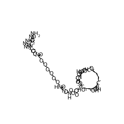 CO[C@H]1C[C@@H]2CC[C@@H](C)[C@@](O)(O2)C(=O)C(=O)N2CCCC[C@H]2C(=O)O[C@H]([C@H](C)C[C@@H]2CC[C@@H](OC(=O)NC3CCN(CC(=O)NCCOCCOCCOCCOCCOCCOCCC(=O)N4CCc5cc(Cn6nc(-c7ccc8oc(N)nc8c7)c7c(N)ncnc76)ccc5C4)CC3)[C@H](OC)C2)C[C@@H](O)[C@H](C)/C=C(\C)[C@@H](O)[C@@H](O)C(=O)[C@H](C)C[C@H](C)/C=C/C=C/C=C/1C